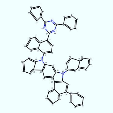 c1ccc(-c2nc(-c3ccccc3)nc(-c3ccc(-n4c5ccccc5c5cc6c7c8ccccc8c(-c8ccccc8)cc7n(-c7ccc8ccccc8c7)c6cc54)c4ccccc34)n2)cc1